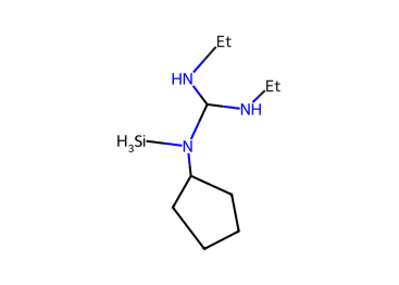 CCNC(NCC)N([SiH3])C1CCCC1